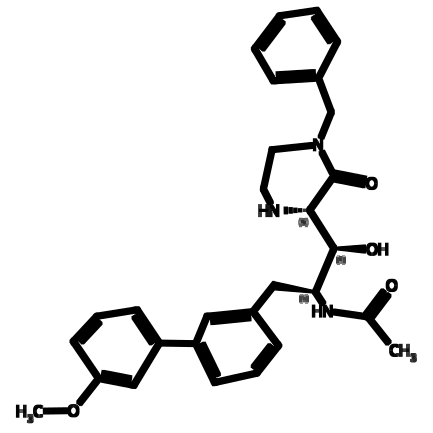 COc1cccc(-c2cccc(C[C@H](NC(C)=O)[C@H](O)[C@@H]3NCCN(Cc4ccccc4)C3=O)c2)c1